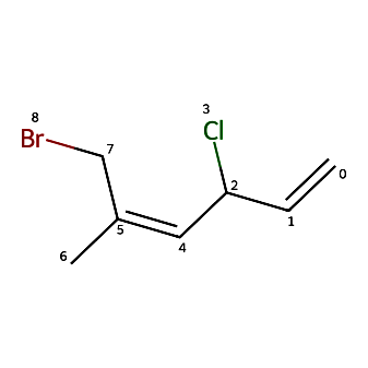 C=CC(Cl)C=C(C)CBr